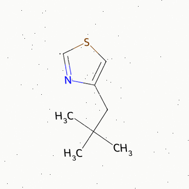 CC(C)(C)Cc1cs[c]n1